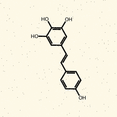 Oc1ccc(C=Cc2cc(O)c(O)c(O)c2)cc1